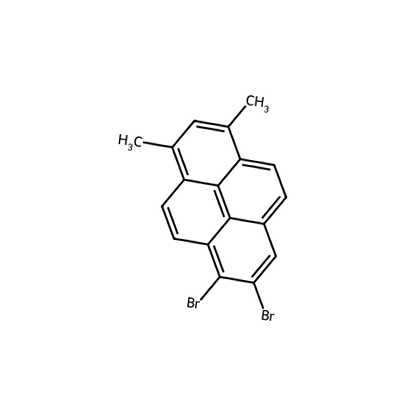 Cc1cc(C)c2ccc3c(Br)c(Br)cc4ccc1c2c43